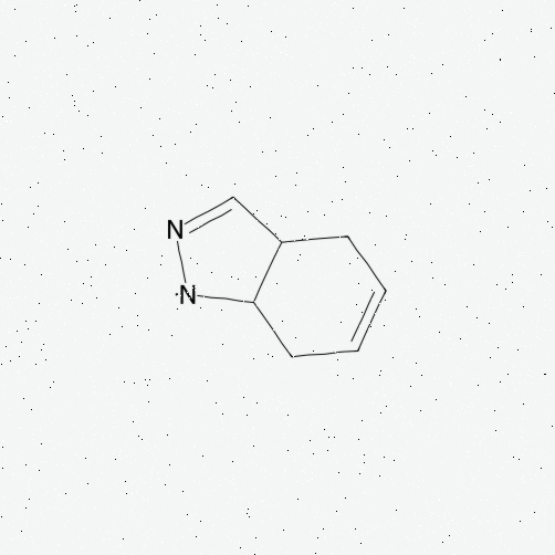 C1=CCC2[N]N=CC2C1